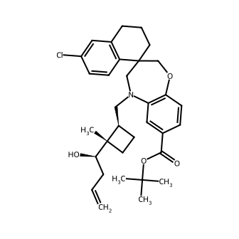 C=CC[C@@H](O)[C@@]1(C)CC[C@@H]1CN1CC2(CCCc3cc(Cl)ccc32)COc2ccc(C(=O)OC(C)(C)C)cc21